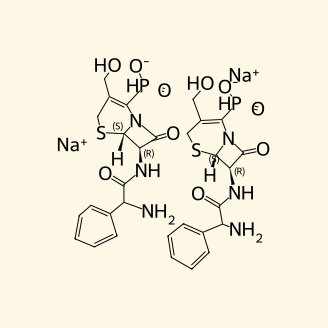 NC(C(=O)N[C@@H]1C(=O)N2C([PH](=O)[O-])=C(CO)CS[C@@H]12)c1ccccc1.NC(C(=O)N[C@@H]1C(=O)N2C([PH](=O)[O-])=C(CO)CS[C@@H]12)c1ccccc1.[Na+].[Na+]